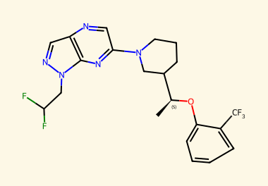 C[C@H](Oc1ccccc1C(F)(F)F)C1CCCN(c2cnc3cnn(CC(F)F)c3n2)C1